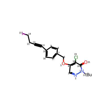 CC(C)(C)n1ncc(OCc2ccc(C#CCCI)cc2)c(Cl)c1=O